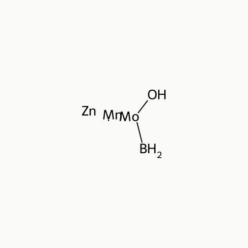 [BH2][Mo][OH].[Mn].[Zn]